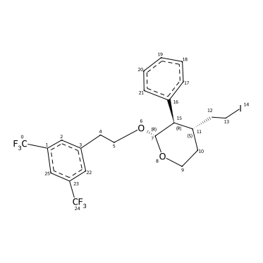 FC(F)(F)c1cc(CCO[C@H]2OCC[C@@H](CCI)[C@@H]2c2ccccc2)cc(C(F)(F)F)c1